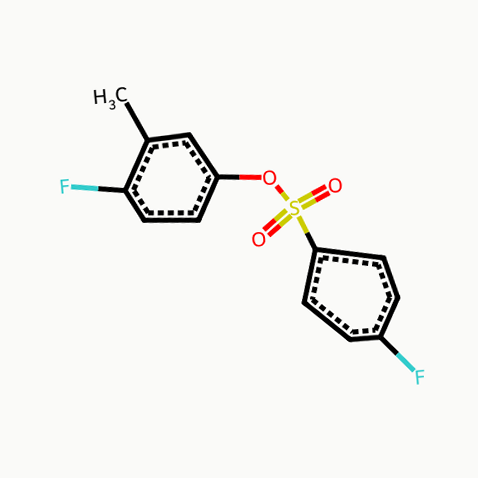 Cc1cc(OS(=O)(=O)c2ccc(F)cc2)ccc1F